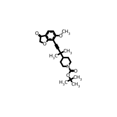 COc1ccc2c(c1C#CC(C)(C)C1CCN(C(=O)OC(C)(C)C)CC1)OCC2=O